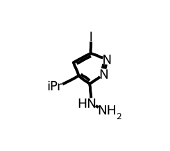 CC(C)c1cc(I)nnc1NN